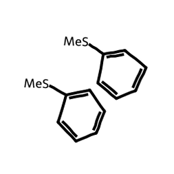 CSc1ccccc1.CSc1ccccc1